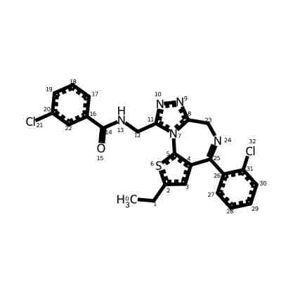 CCc1cc2c(s1)-n1c(nnc1CNC(=O)c1cccc(Cl)c1)CN=C2c1ccccc1Cl